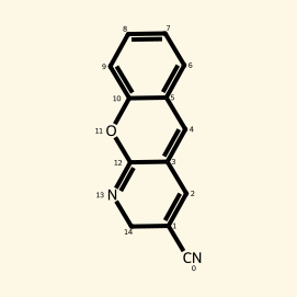 N#CC1=CC2=Cc3ccccc3OC2=NC1